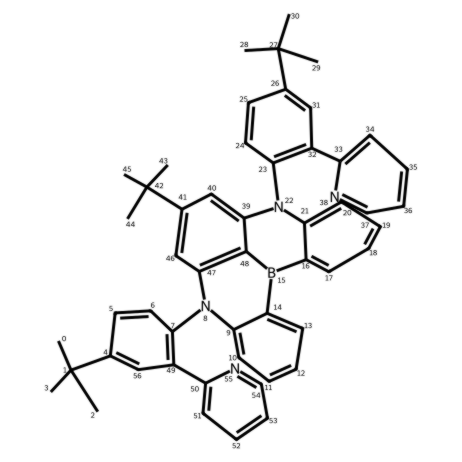 CC(C)(C)c1ccc(N2c3ccccc3B3c4ccccc4N(c4ccc(C(C)(C)C)cc4-c4ccccn4)c4cc(C(C)(C)C)cc2c43)c(-c2ccccn2)c1